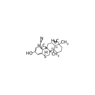 CC1(C)CCC[C@]2(C)[C@H]3CSc4cc(O)cc(C#N)c4[C@]3(C)CC[C@@H]12